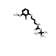 COc1cccc(OCCCNC(=O)OC(C)(C)C)c1Br